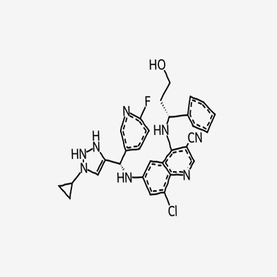 N#Cc1cnc2c(Cl)cc(N[C@H](C3=CN(C4CC4)NN3)c3ccc(F)nc3)cc2c1N[C@H](CCO)c1ccccc1